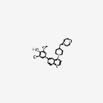 COc1cc(-c2ccc3nc[c]c(N4CCC(CN5CCOCC5)CC4)c3c2)cc(Cl)c1O